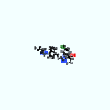 COc1cc(/C=C/c2nc3n(n2)CCC[C@]3(O)c2ccc(Cl)cc2)ccc1-n1cnc(C)c1